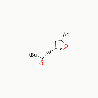 CC(=O)c1cc(C#CC(=O)C(C)(C)C)co1